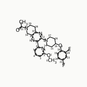 COc1cccc(-c2nc3c(nc2N2CCC(Oc4ccc(F)cc4F)CC2)CCN(C(C)=O)C3)n1